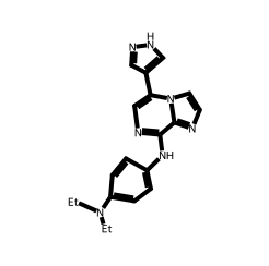 CCN(CC)c1ccc(Nc2ncc(-c3cn[nH]c3)n3ccnc23)cc1